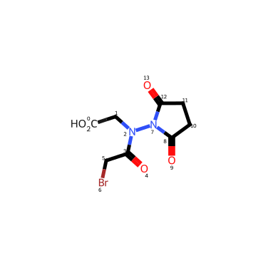 O=C(O)CN(C(=O)CBr)N1C(=O)CCC1=O